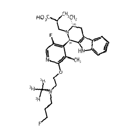 [2H]C([2H])([2H])N(CCCF)CCOc1ncc(F)c([C@@H]2c3[nH]c4ccccc4c3C[C@@H](C)N2CC(C)C(=O)O)c1C